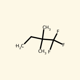 [CH2]CC(C)(C)C(F)(F)F